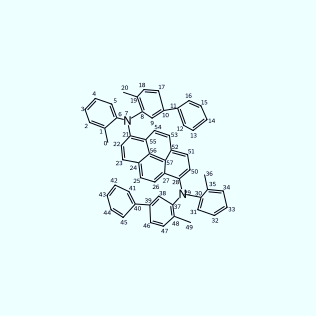 Cc1ccccc1N(c1cc(-c2ccccc2)ccc1C)c1ccc2ccc3c(N(c4ccccc4C)c4cc(-c5ccccc5)ccc4C)ccc4ccc1c2c43